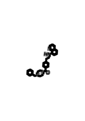 O=C(c1ccc(CCNc2cccc3cccnc23)cc1)N1CCN(Cc2ccccc2)CC1